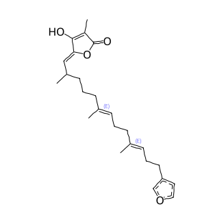 CC1=C(O)C(=CC(C)CCC/C(C)=C/CC/C(C)=C/CCc2ccoc2)OC1=O